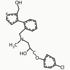 CN(Cc1ccccc1-c1ccsc1CO)CC(O)COc1ccc(Cl)cc1